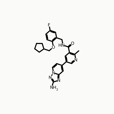 Cc1ncc(-c2ccn3nc(N)nc3c2)cc1C(=O)NCc1cc(F)ccc1OCC1CCCC1